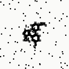 Cn1ccnc1-c1cc(F)ccc1-c1cccc(N)c1